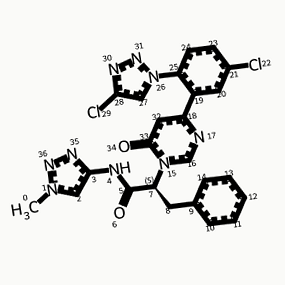 Cn1cc(NC(=O)[C@H](Cc2ccccc2)n2cnc(-c3cc(Cl)ccc3-n3cc(Cl)nn3)cc2=O)nn1